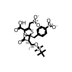 C[C@@H](O[Si](C)(C)C(C)(C)C)[C@H]1C(=O)N2C(C(=O)O)=C(C[N+](=O)[O-])S[C@]12Cc1ccc([N+](=O)[O-])cc1